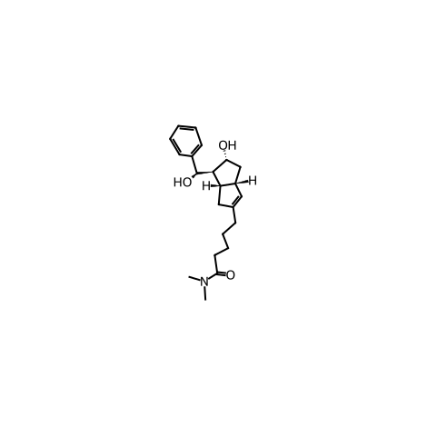 CN(C)C(=O)CCCCC1=C[C@H]2C[C@@H](O)[C@H]([C@@H](O)c3ccccc3)[C@H]2C1